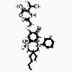 CCCCC1(CC)CN(c2ccccc2)c2cc(Br)c(OCC(=O)NC(C(=O)O)C(C)O)cc2S(=O)(=O)C1